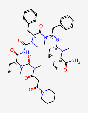 CC(C)C[C@H](N[C@H](Cc1ccccc1)N(C)C(=O)[C@H](Cc1ccccc1)N(C)C(=O)NC(=O)[C@H](CC(C)C)N(C)C(=O)N(C)C(=O)CC(=O)N1CCCCC1)N(C)[C@@H](CC(C)C)C(N)=O